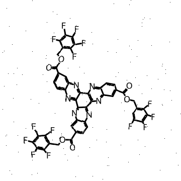 O=C(OCc1cc(F)c(F)c(F)c1F)c1ccc2nc3c(nc2c1)c1nc2ccc(C(=O)OCc4c(F)c(F)c(F)c(F)c4F)cc2nc1c1nc2ccc(C(=O)OCc4c(F)c(F)c(F)c(F)c4F)cc2nc31